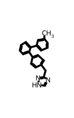 Cc1cccc(-c2ccccc2-c2ccc(Cc3nc[nH]n3)cc2)c1